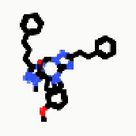 COc1cccc(Nc2n(C)nc(CCCc3ccccc3)[n+]2Cn2nc(CCc3ccccc3)nc2N2CCC[C@H]2C(N)=O)c1